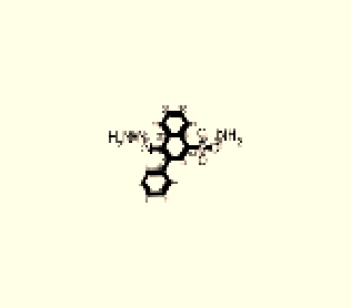 NN=Nc1c(-c2ccccc2)cc(S(=O)(=O)ON)c2ccccc12